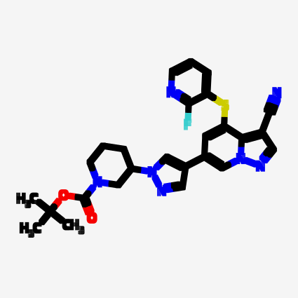 CC(C)(C)OC(=O)N1CCCC(n2cc(-c3cc(Sc4cccnc4F)c4c(C#N)cnn4c3)cn2)C1